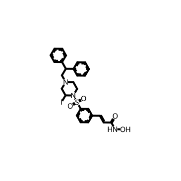 O=C(C=Cc1cccc(S(=O)(=O)N2CCN(CC(c3ccccc3)c3ccccc3)CC2I)c1)NO